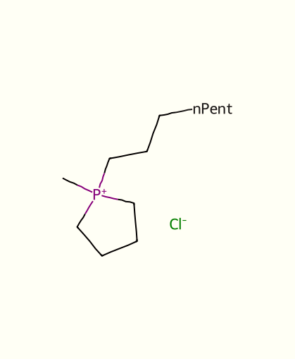 CCCCCCCC[P+]1(C)CCCC1.[Cl-]